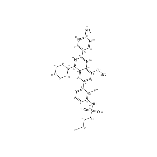 CCOc1cc(-c2cccc(NS(=O)(=O)CCCF)c2F)cc2c(N3CCOCC3)nc(-c3cnc(N)nc3)nc12